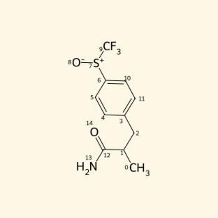 CC(Cc1ccc([S+]([O-])C(F)(F)F)cc1)C(N)=O